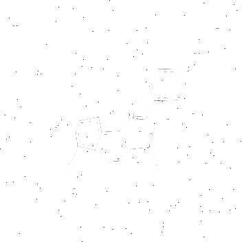 Cc1cccc2c3c(ccc12)C(=O)CC(c1ccccc1)=N3